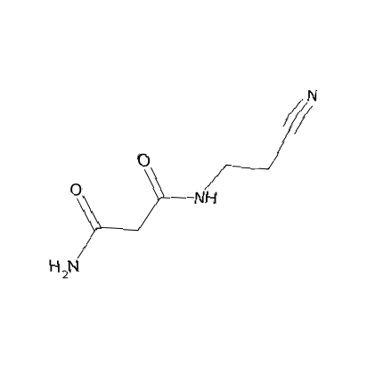 N#CCCNC(=O)CC(N)=O